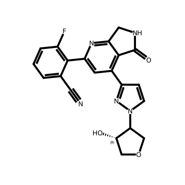 N#Cc1cccc(F)c1-c1cc(-c2ccn(C3COC[C@@H]3O)n2)c2c(n1)CNC2=O